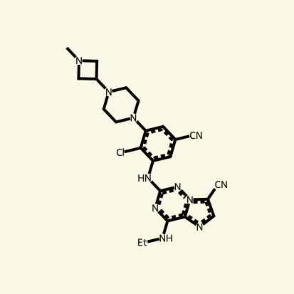 CCNc1nc(Nc2cc(C#N)cc(N3CCN(C4CN(C)C4)CC3)c2Cl)nn2c(C#N)cnc12